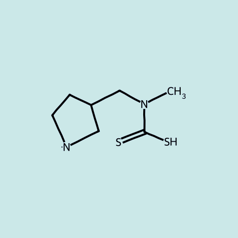 CN(CC1CC[N]C1)C(=S)S